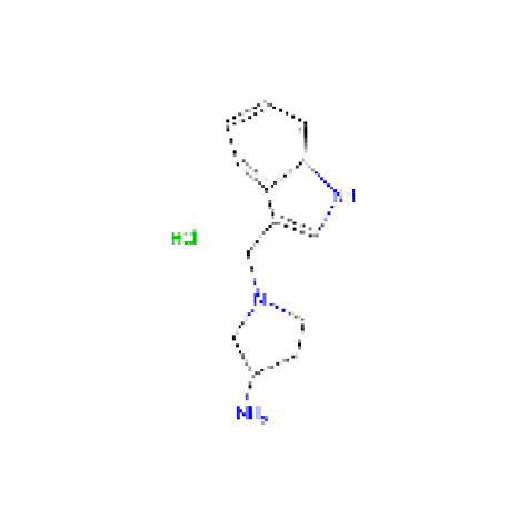 Cl.NC1CCN(Cc2c[nH]c3ccccc23)C1